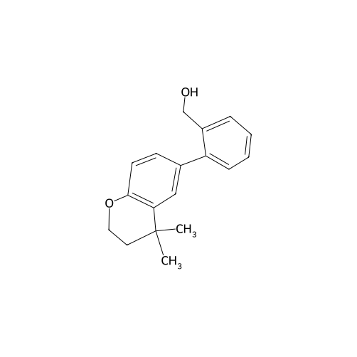 CC1(C)CCOc2ccc(-c3ccccc3CO)cc21